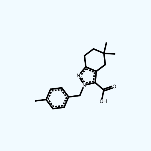 Cc1ccc(Cn2nc3c(c2C(=O)O)CC(C)(C)CC3)cc1